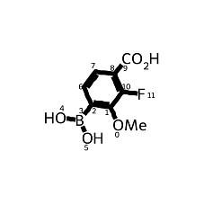 COc1c(B(O)O)ccc(C(=O)O)c1F